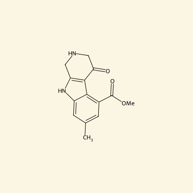 COC(=O)c1cc(C)cc2[nH]c3c(c12)C(=O)CNC3